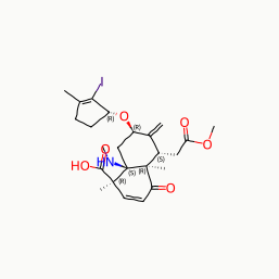 C=C1[C@H](O[C@@H]2CCC(C)=C2I)C[C@@]2(NC)[C@](C)(C(=O)O)C=CC(=O)[C@]2(C)[C@H]1CC(=O)OC